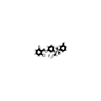 Cc1cccc(S(=O)(=O)N(CC(F)(F)F)c2cccc(OCc3c(F)cccc3Cl)c2)c1